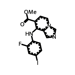 COC(=O)c1ccn2cncc2c1Nc1ccc(I)cc1F